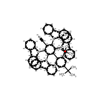 CC(C)(C)c1ccc(-c2c(-n3c4ccccc4c4ccncc43)c(-n3c4ccccc4c4ccccc43)c(C#N)c(-n3c4ccccc4c4ccccc43)c2-n2c3ccccc3c3cccnc32)c(C(C)(C)C)c1